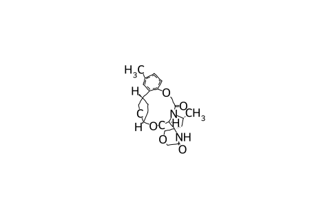 Cc1ccc2c(c1)[C@H]1CC[C@H](CC1)OC[C@H]1N(C(=O)CO2)[C@H](C)C[C@]12COCC(=O)N2